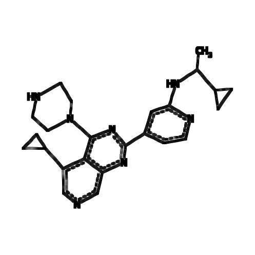 CC(Nc1cc(-c2nc(N3CCNCC3)c3c(C4CC4)cncc3n2)ccn1)C1CC1